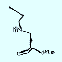 COC(=O)CNCI